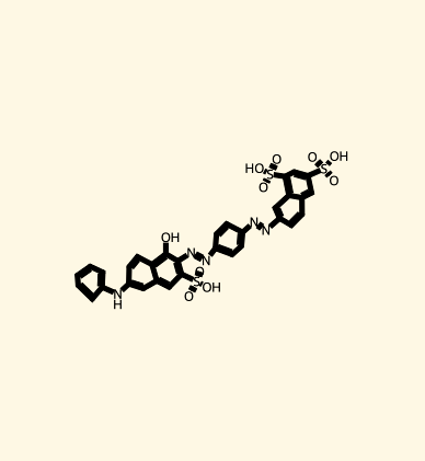 O=S(=O)(O)c1cc(S(=O)(=O)O)c2cc(N=Nc3ccc(N=Nc4c(S(=O)(=O)O)cc5cc(Nc6ccccc6)ccc5c4O)cc3)ccc2c1